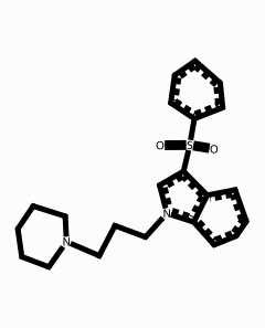 O=S(=O)(c1ccccc1)c1cn(CCCN2CCCCC2)c2ccccc12